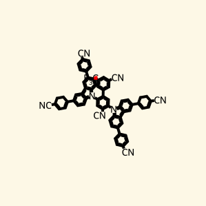 N#CC1=CC=C(c2ccc3c(c2)c2cc(-c4ccc(C#N)cc4)ccc2n3-c2cc(-c3cc(C#N)cc(C(F)(F)F)c3)c(-n3c4ccc(C5=CC=C(C#N)CC5)cc4c4cc(-c5ccc(C#N)cc5)ccc43)cc2C#N)CC1